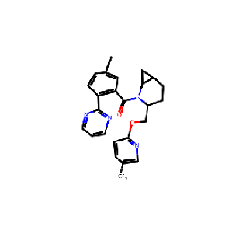 Cc1ccc(-c2ncccn2)c(C(=O)N2C3CC3CC[C@H]2COc2ccc(C(F)(F)F)cn2)c1